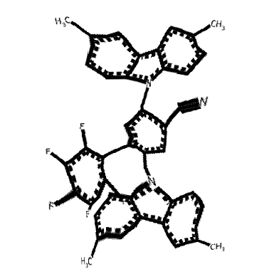 Cc1ccc2c(c1)c1cc(C)ccc1n2-c1cc(-c2c(F)c(F)c(F)c(F)c2F)c(-n2c3ccc(C)cc3c3cc(C)ccc32)cc1C#N